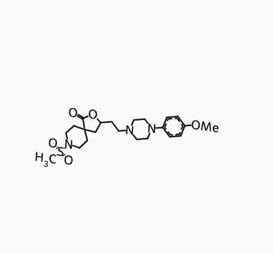 COc1ccc(N2CCN(CCC3CC4(CCN(S(C)(=O)=O)CC4)C(=O)O3)CC2)cc1